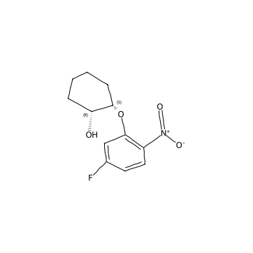 O=[N+]([O-])c1ccc(F)cc1O[C@H]1CCCC[C@H]1O